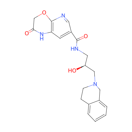 O=C1COc2ncc(C(=O)NC[C@H](O)CN3CCc4ccccc4C3)cc2N1